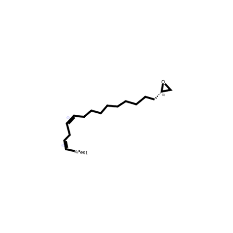 CCCCC/C=C\C/C=C\CCCCCCCCC[C@H]1CO1